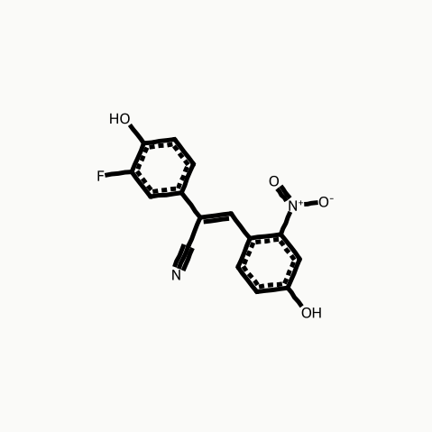 N#C/C(=C\c1ccc(O)cc1[N+](=O)[O-])c1ccc(O)c(F)c1